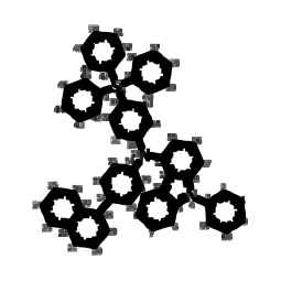 c1ccc(-n2c3ccccc3c3c(N(c4ccc(-c5cccc6ccccc56)cc4)c4ccc([Si](c5ccccc5)(c5ccccc5)c5ccccc5)cc4)cccc32)cc1